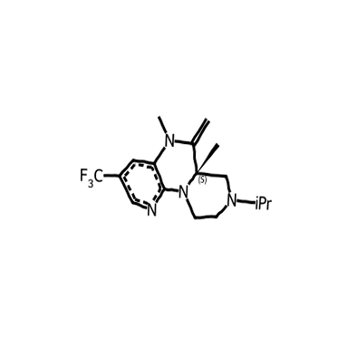 C=C1N(C)c2cc(C(F)(F)F)cnc2N2CCN(C(C)C)C[C@@]12C